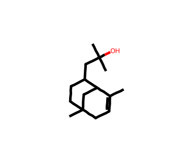 CC1=CCC2(C)CCC(CC(C)(C)O)C1C2